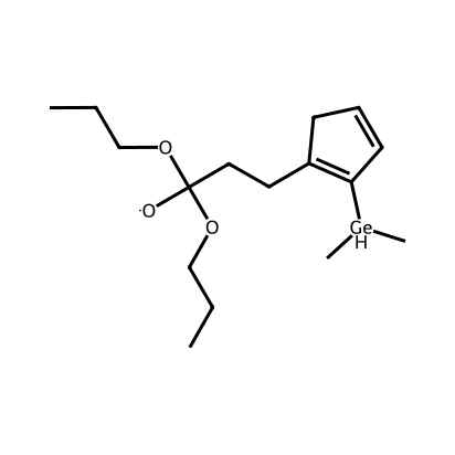 CCCOC([O])(CCC1=[C]([GeH]([CH3])[CH3])C=CC1)OCCC